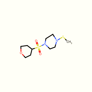 CSN1CCN(S(=O)(=O)C2CCOCC2)CC1